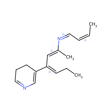 C\C=C/C=N\C(C)=C\C(=C/CC)C1=CN=CCC1